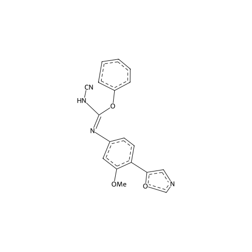 COc1cc(/N=C(/NC#N)Oc2ccccc2)ccc1-c1cnco1